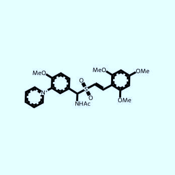 COc1cc(OC)c(/C=C/S(=O)(=O)C(NC(C)=O)c2ccc(OC)c(-[n+]3ccccc3)c2)c(OC)c1